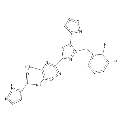 Nc1nc(-c2cc(-c3ccon3)n(Cc3cccc(F)c3F)n2)ncc1NC(=O)c1ccn[nH]1